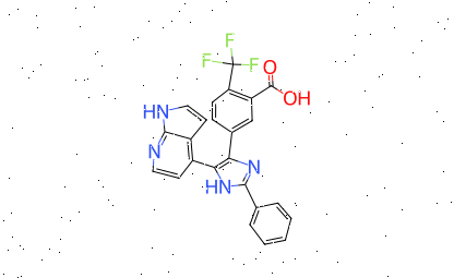 O=C(O)c1cc(-c2nc(-c3ccccc3)[nH]c2-c2ccnc3[nH]ccc23)ccc1C(F)(F)F